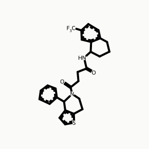 O=C(CCC(=O)N1CCc2sccc2C1c1ccccc1)NC1CCCc2ccc(C(F)(F)F)cc21